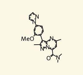 COc1cc(-n2cccn2)ccc1-c1c(C)nn2c(C(=O)N(C)C)cc(C)nc12